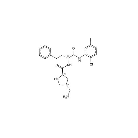 Cc1ccc(O)c(NC(=O)[C@@H](CCc2ccccc2)NC(=O)[C@H]2C[C@H](CN)CN2)c1